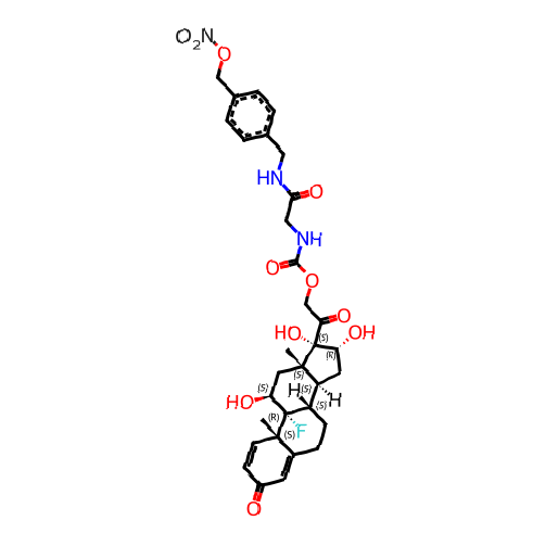 C[C@]12C=CC(=O)C=C1CC[C@H]1[C@@H]3C[C@@H](O)[C@](O)(C(=O)COC(=O)NCC(=O)NCc4ccc(CO[N+](=O)[O-])cc4)[C@@]3(C)C[C@H](O)[C@@]12F